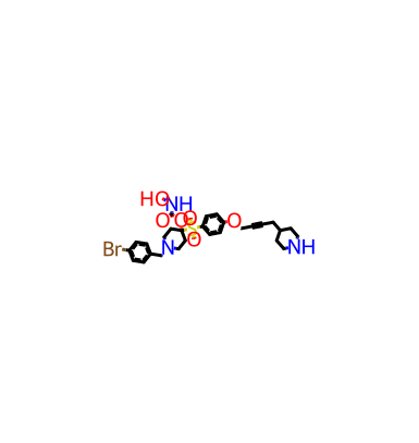 O=C(NO)OC1(S(=O)(=O)c2ccc(OCC#CCC3CCNCC3)cc2)CCN(Cc2ccc(Br)cc2)CC1